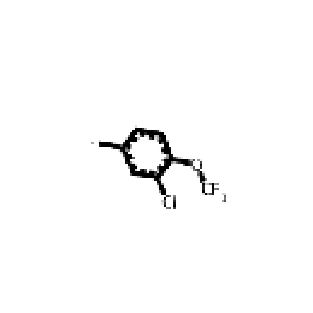 [CH2]c1ccc(OC(F)(F)F)c(Cl)c1